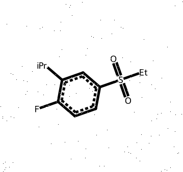 CCS(=O)(=O)c1ccc(F)c(C(C)C)c1